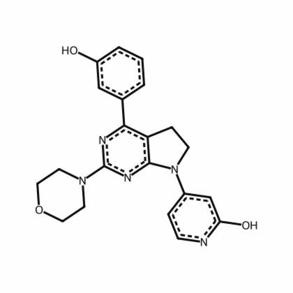 Oc1cccc(-c2nc(N3CCOCC3)nc3c2CCN3c2ccnc(O)c2)c1